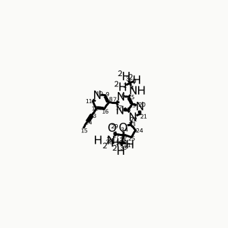 [2H]C([2H])([2H])Nc1nc(-c2cncc(C#CC)c2)nc2c1ncn2C1CCC(C(N)=O)(C([2H])([2H])[2H])O1